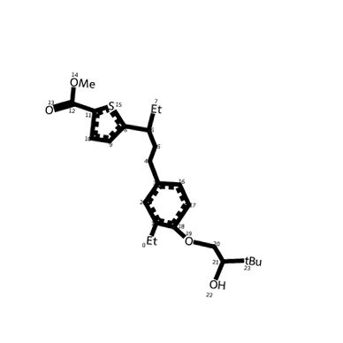 CCc1cc(CCC(CC)c2ccc(C(=O)OC)s2)ccc1OCC(O)C(C)(C)C